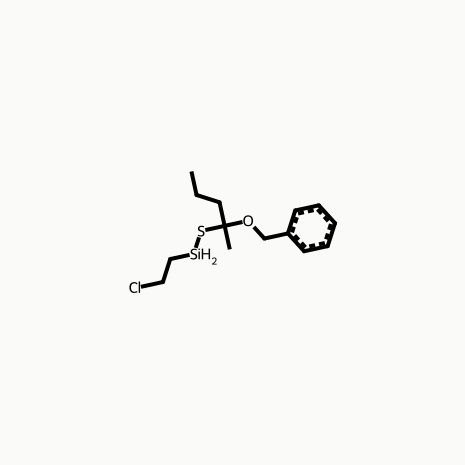 CCCC(C)(OCc1ccccc1)S[SiH2]CCCl